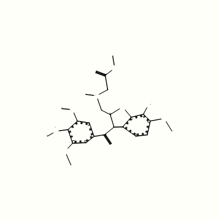 COC(=O)CN(C)CC1Oc2c(ccc(OC)c2O)C1C(=O)c1cc(OC)c(OC)c(OC)c1